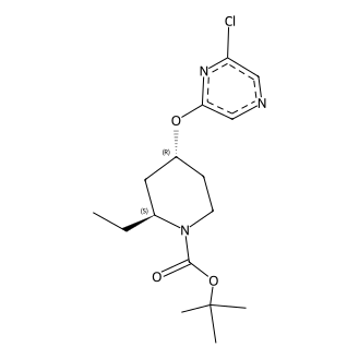 CC[C@H]1C[C@H](Oc2cncc(Cl)n2)CCN1C(=O)OC(C)(C)C